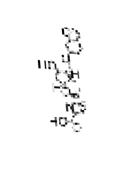 O=C(O)c1csc([C@H]2CC[C@@H]3[C@@H](COc4ccc5ccoc5c4)[C@H](O)C[C@@H]3O2)n1